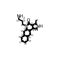 Cc1[nH]nc2c1c(=O)n(CCCN)c1cc3ccccc3cc21